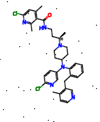 Cc1ccncc1Cc1ccccc1N(c1ccc(Cl)nc1)C1CCN([C@H](C)CCNC(=O)c2c(C)cc(Cl)nc2C)CC1